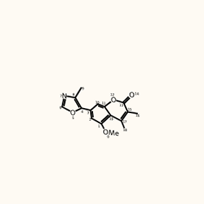 COc1cc(-c2ocnc2C)cc2oc(=O)c(C)c(C)c12